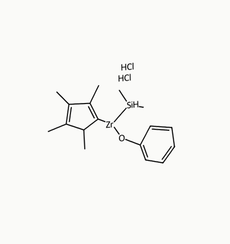 CC1=C(C)C(C)[C]([Zr]([O]c2ccccc2)[SiH](C)C)=C1C.Cl.Cl